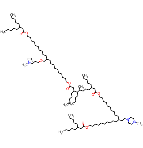 CCCCCC(CCCCC)CC(=O)OCCCCCCCCCCC(CCCCCCCCCCOC(=O)CC(CCCCC)CCCC(C)C(CCCC)C(CCCCC)CC(=O)OCCCCCCCCCCC(CCCCCCCCCCOC(=O)CC(CCCCC)CCCCC)COCCCN(C)C)CCN1CCN(C)CC1